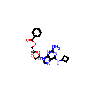 Nc1nc(NC2CCC2)c2ncn([C@H]3CO[C@@H](COC(=O)c4ccccc4)O3)c2n1